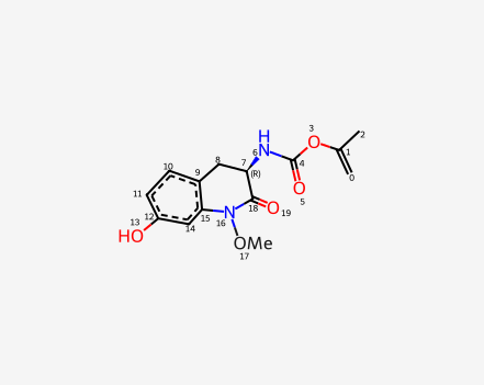 C=C(C)OC(=O)N[C@@H]1Cc2ccc(O)cc2N(OC)C1=O